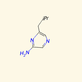 CC(C)Cc1cncc(N)n1